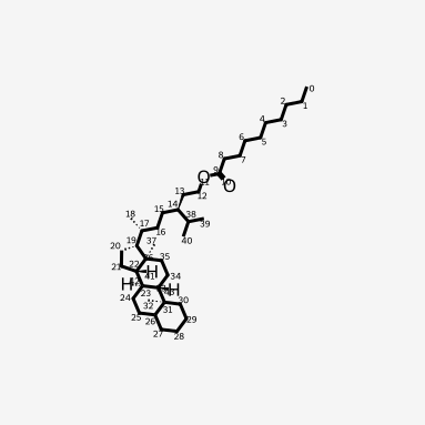 CCCCCCCCCC(=O)OCC[C@H](CC[C@@H](C)[C@H]1CC[C@H]2[C@@H]3CCC4CCCC[C@]4(C)[C@H]3CC[C@]12C)C(C)C